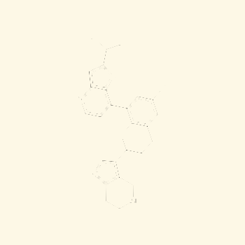 CCC(O)c1cc2nccc(-c3cc(Cl)cc4c3OC(c3onc5c3CNCC5)CC4)c2s1